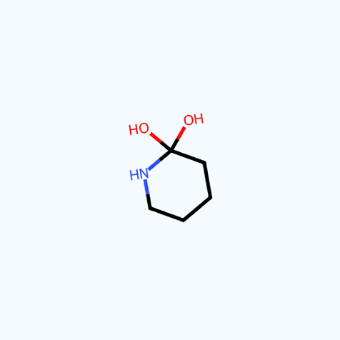 OC1(O)CCCCN1